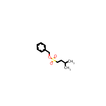 CC(C)CCS(=O)(=O)OCc1ccccc1